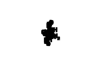 C=C(Cl)N/C(C(=O)c1ccc(-c2cn(C3CCCCC3)nn2)cc1O)=C(\Cl)n1c(C(=O)c2ccc(-c3cn(C4CCCCC4)nn3)cc2O)cc(Cl)c1Cl